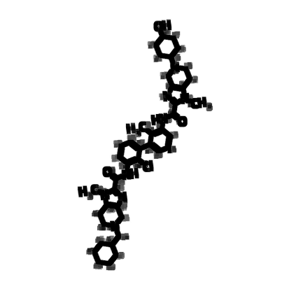 Cc1c(NC(=O)c2nc3c(n2C)CCN(C2CCC(O)CC2)C3)cccc1-c1cccc(NC(=O)c2nc3c(n2C)CCN(CC2CCCCC2)C3)c1Cl